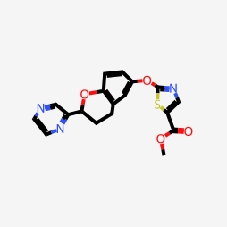 COC(=O)c1cnc(Oc2ccc3c(c2)CCC(c2cnccn2)O3)s1